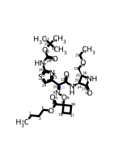 CCCCOC(=O)C1(O/N=C(\C(=O)N[C@@H]2C(=O)N[C@@H]2COCC)c2csc(NC(=O)OC(C)(C)C)n2)CCC1